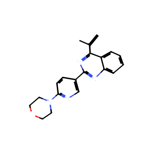 C=C(C)c1nc(-c2ccc(N3CCOCC3)nc2)nc2ccccc12